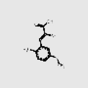 COc1ccc(C)c(C=C(S)C(=O)O)c1